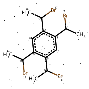 CC(Br)c1cc(C(C)Br)c(C(C)Br)cc1C(C)Br